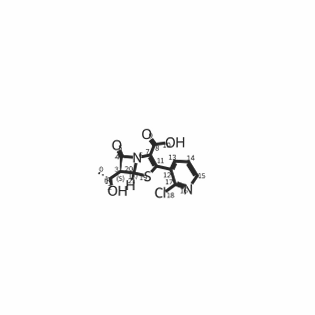 C[C@@H](O)[C@H]1C(=O)N2C(C(=O)O)=C(c3cccnc3Cl)S[C@H]12